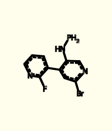 Fc1ncccc1-c1cc(Br)ncc1NP